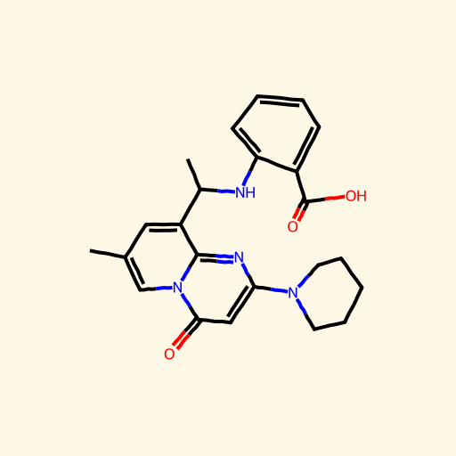 Cc1cc(C(C)Nc2ccccc2C(=O)O)c2nc(N3CCCCC3)cc(=O)n2c1